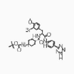 COc1ccc(C[C@H](NC(=O)[C@H]2CC[C@H](CNC(=O)OC(C)(C)C)CC2)C(=O)Nc2ccc(-c3nn[nH]n3)cc2)cc1Br